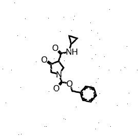 O=C1CN(C(=O)OCc2ccccc2)CC1C(=O)NC1CC1